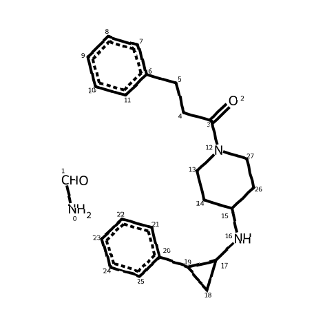 NC=O.O=C(CCc1ccccc1)N1CCC(NC2CC2c2ccccc2)CC1